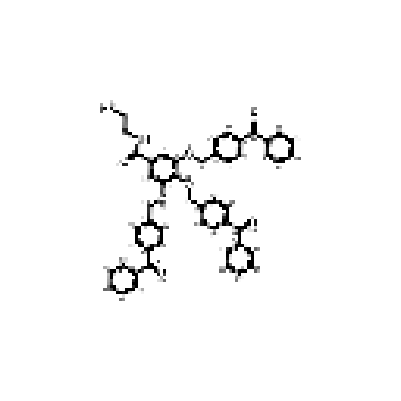 O=C(NCCS)c1cc(OCc2ccc(C(=O)c3ccccc3)cc2)c(OCc2ccc(C(=O)c3ccccc3)cc2)c(OCc2ccc(C(=O)c3ccccc3)cc2)c1